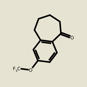 O=C1CCCCc2cc(OC(F)(F)F)ccc21